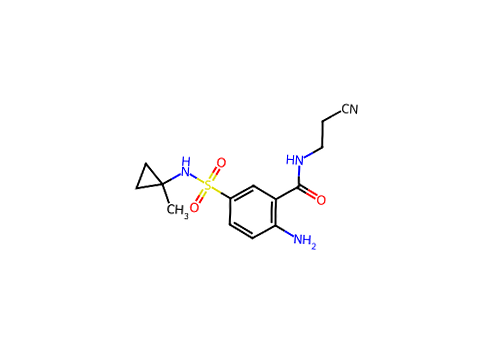 CC1(NS(=O)(=O)c2ccc(N)c(C(=O)NCCC#N)c2)CC1